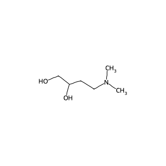 CN(C)CCC(O)CO